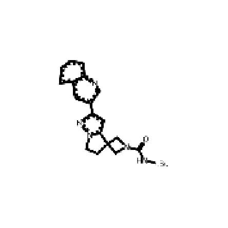 CC(C)(C)NC(=O)N1CC2(CCn3nc(-c4cnc5ccccc5c4)cc32)C1